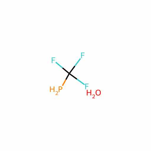 FC(F)(F)P.O